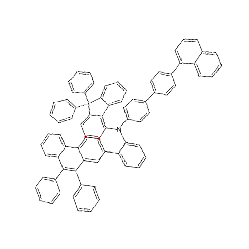 c1ccc(-c2c(-c3ccccc3)c3cc(-c4ccccc4N(c4ccc(-c5ccc(-c6cccc7ccccc67)cc5)cc4)c4cccc5c4-c4ccccc4C5(c4ccccc4)c4ccccc4)ccc3c3ccccc23)cc1